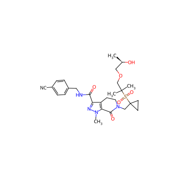 C[C@@H](O)COCC(C)(C)S(=O)(=O)C1(CN2CCc3c(C(=O)NCc4ccc(C#N)cc4)nn(C)c3C2=O)CC1